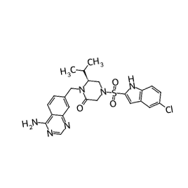 CC(C)[C@H]1CN(S(=O)(=O)c2cc3cc(Cl)ccc3[nH]2)CC(=O)N1Cc1ccc2c(N)ncnc2c1